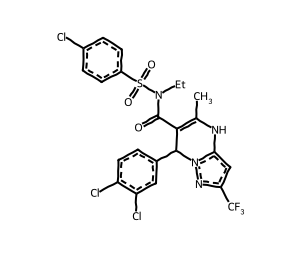 CCN(C(=O)C1=C(C)Nc2cc(C(F)(F)F)nn2C1c1ccc(Cl)c(Cl)c1)S(=O)(=O)c1ccc(Cl)cc1